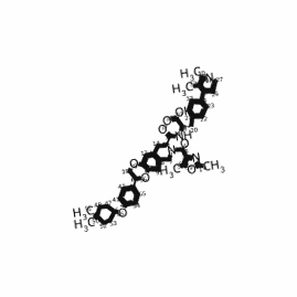 Cc1nc(C(=O)N2Cc3cc4c(cc3C[C@H]2C(=O)N[C@@H](Cc2ccc(-c3ccnc(C)c3C)cc2)C(=O)O)OC[C@H](c2ccc(OC3CCC(C)(C)CC3)cc2)O4)c(C)o1